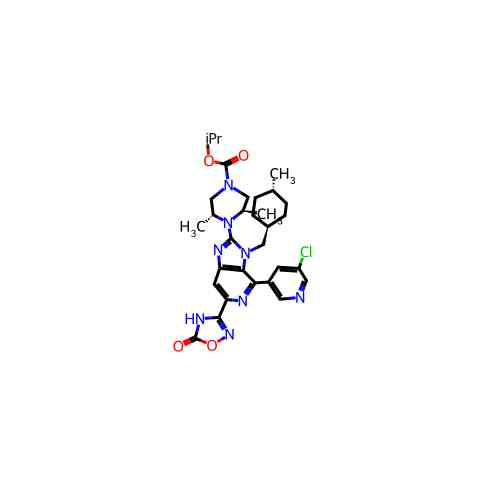 CC(C)OC(=O)N1C[C@@H](C)N(c2nc3cc(-c4noc(=O)[nH]4)nc(-c4cncc(Cl)c4)c3n2C[C@H]2CC[C@H](C)CC2)[C@H](C)C1